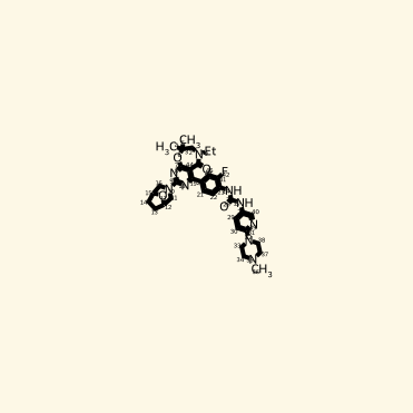 CCN1CC(C)(C)Oc2nc(N3CC4CCC(C3)O4)nc(-c3ccc(NC(=O)Nc4ccc(N5CCN(C)CC5)nc4)c(F)c3)c2C1=O